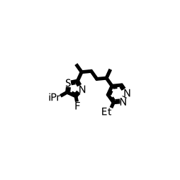 CCc1cc(C(C)CCC(C)c2nc(F)c(C(C)C)s2)cnn1